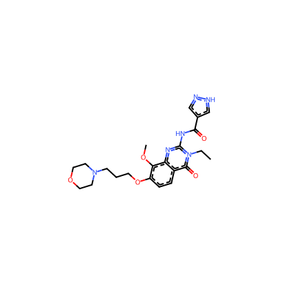 CCn1c(NC(=O)c2cn[nH]c2)nc2c(OC)c(OCCCN3CCOCC3)ccc2c1=O